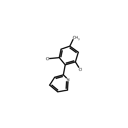 Cc1cc(Cl)c(-c2ccccn2)c(Cl)c1